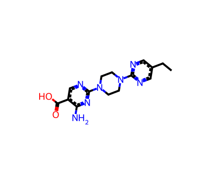 CCc1cnc(N2CCN(c3ncc(C(=O)O)c(N)n3)CC2)nc1